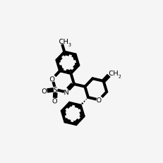 C=C1CO[C@H](c2ccccc2)C(C2=NS(=O)(=O)Oc3cc(C)ccc32)C1